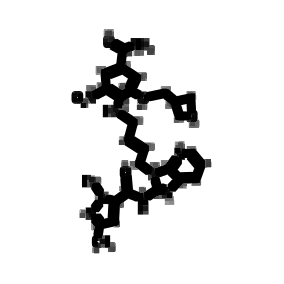 CCn1nc(C)cc1C(=O)Nc1nc2cccnc2n1C/C=C/CNc1c(OCC2COC2)cc(C(N)=O)cc1[N+](=O)[O-]